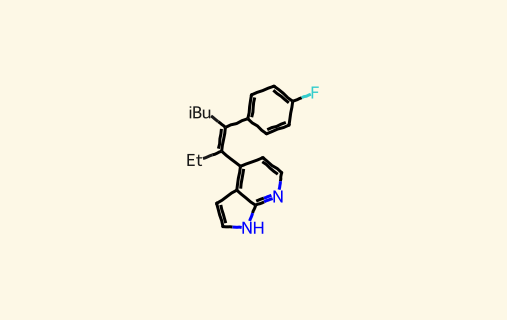 CC/C(=C(/c1ccc(F)cc1)C(C)CC)c1ccnc2[nH]ccc12